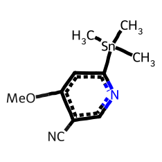 COc1c[c]([Sn]([CH3])([CH3])[CH3])ncc1C#N